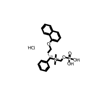 C[N+](C)(COP(=O)(O)O)[C@@H](CCOc1cccc2ccccc12)c1ccccc1.Cl